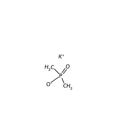 CP(C)(=O)[O-].[K+]